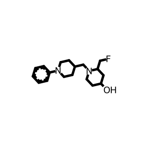 OC1CCN(CC2CCN(c3ccccc3)CC2)C(CF)C1